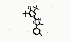 CC1=NC(=C2C=C(C(C)(C)C)C(=O)C(C(C)(C)C)=C2)N=C1c1cccc(C)c1